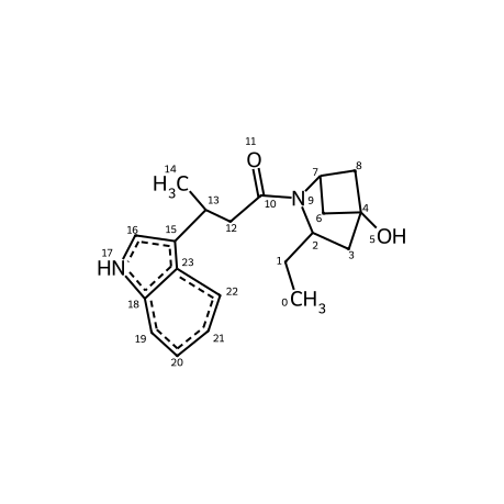 CCC1CC2(O)CC(C2)N1C(=O)CC(C)c1c[nH]c2ccccc12